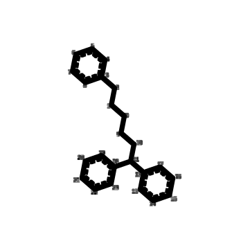 [CH](CCc1ccccc1)CCC(c1ccccc1)c1ccccc1